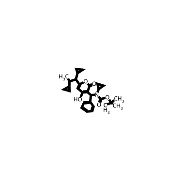 CC(C1CC1)C(c1cc(O)c(C(c2ccccc2)N(C(=O)OC(C)(C)C)C2CC2)c(=O)o1)C1CC1